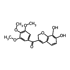 COc1cc(C(=O)C2=Cc3ccc(O)c(O)c3OC2)cc(OC)c1OC